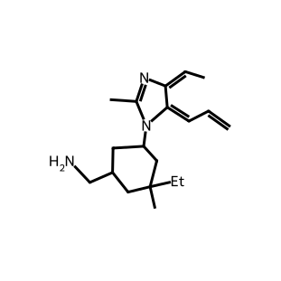 C=C/C=c1\c(=C/C)nc(C)n1C1CC(CN)CC(C)(CC)C1